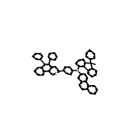 CC1(c2ccccc2)c2ccccc2-c2c(N(c3ccc(-c4ccc5c(c4)c(-c4ccccc4)c(-c4ccccc4)c4ccccc45)cc3)c3ccc4c(ccc5ccccc54)c3)cccc21